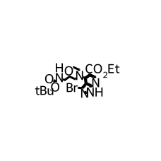 CCOC(=O)c1cnc2[nH]nc(Br)c2c1N1CCOC(CNC(=O)OC(C)(C)C)C1